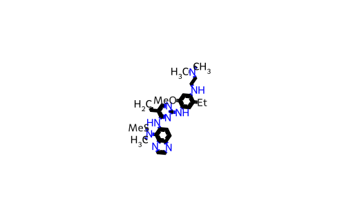 C=Cc1cnc(Nc2cc(CC)c(NCCN(C)C)cc2OC)nc1Nc1ccc2nccnc2c1N(C)SC